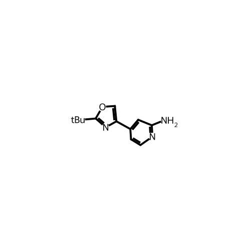 CC(C)(C)c1nc(-c2ccnc(N)c2)co1